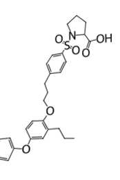 CCCc1cc(Oc2ccccc2)ccc1OCCCc1ccc(S(=O)(=O)N2CCCC2C(=O)O)cc1